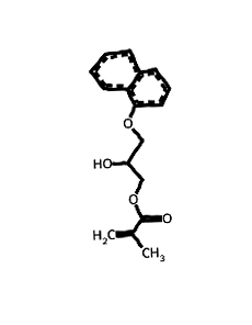 C=C(C)C(=O)OCC(O)COc1cccc2ccccc12